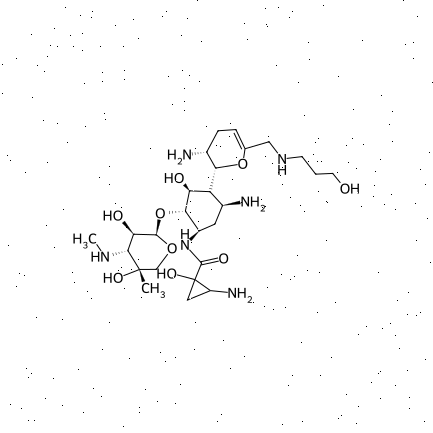 CN[C@@H]1[C@@H](O)[C@@H](O[C@H]2[C@H](NC(=O)C3(O)CC3N)C[C@H](N)C([C@H]3OC(CNCCCO)=CC[C@H]3N)[C@@H]2O)OC[C@]1(C)O